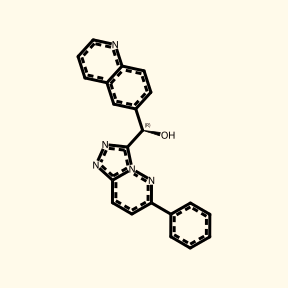 O[C@H](c1ccc2ncccc2c1)c1nnc2ccc(-c3ccccc3)nn12